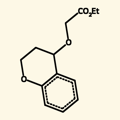 CCOC(=O)COC1CCOc2ccccc21